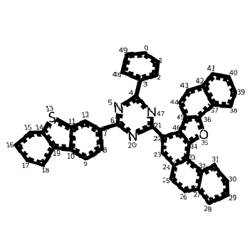 c1ccc(-c2nc(-c3ccc4c(c3)sc3ccccc34)nc(-c3cc4ccc5ccccc5c4c4oc5c6ccccc6ccc5c34)n2)cc1